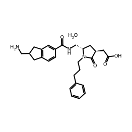 NCC1Cc2ccc(C(=O)NC[C@@H]3C[C@@H](CC(=O)O)C(=O)N3CCCc3ccccc3)cc2C1.O